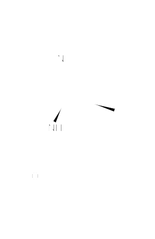 CN[C@H]1C(C)N(C)CC[C@]1(C)c1cc(OC)ccc1C